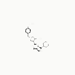 COc1ccc(CN2CC(C)C(c3nn4c(C5CCOCC5)ncc4c(=O)[nH]3)C2)cc1